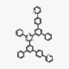 C1=CCCC(c2nc(-c3cc(-c4ccccc4)cc(-c4ccc(-c5ccccn5)cc4)c3)nc(-c3cc(-c4ccccc4)cc(-c4ccc(-c5ccccn5)cc4)c3)n2)=C1